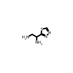 NCC(N)c1nncs1